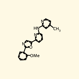 COc1ccccc1-c1ncc(-c2cccc(Nc3cc(C)ccn3)n2)o1